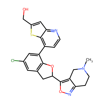 CN1CCc2noc(C3Cc4cc(Cl)cc(-c5ccnc6cc(CO)sc56)c4O3)c2C1